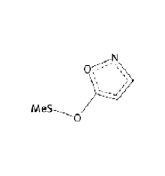 CSOc1ccno1